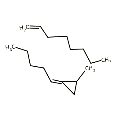 C=CCCCCCC.CCCCC=C1CC1C